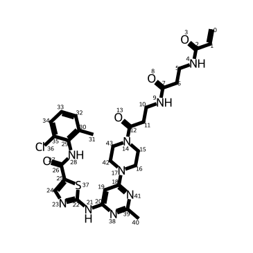 C=CC(=O)NCCC(=O)NCCC(=O)N1CCN(c2cc(Nc3ncc(C(=O)Nc4c(C)cccc4Cl)s3)nc(C)n2)CC1